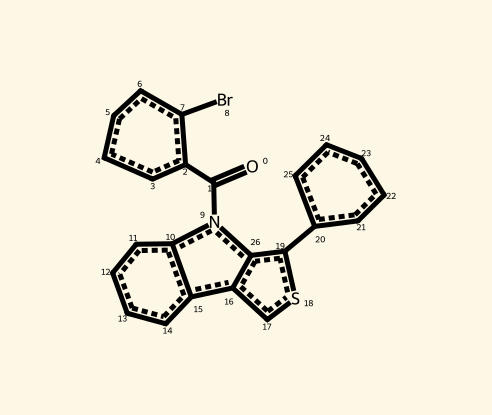 O=C(c1ccccc1Br)n1c2ccccc2c2csc(-c3ccccc3)c21